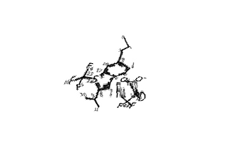 CCCc1ccc2cc(C(C)C)[s+](C(F)(F)F)c2c1.O=S(=O)([O-])C(F)(F)F